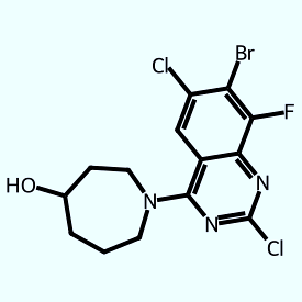 OC1CCCN(c2nc(Cl)nc3c(F)c(Br)c(Cl)cc23)CC1